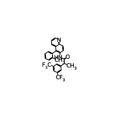 Cc1ccccc1-c1c(NC(=O)C(C)c2cc(C(F)(F)F)cc(C(F)(F)F)c2)ccc2ncccc12